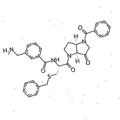 NCc1cccc(C(=O)N[C@@H](CSCc2ccccc2)C(=O)N2CC[C@@H]3[C@H]2C(=O)CN3C(=O)c2ccccc2)c1